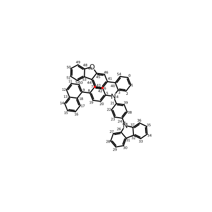 c1ccc(N(c2ccc(-c3cccc4ccccc34)cc2)c2ccc(-n3c4ccccc4c4ccccc43)cc2)c(-c2ccc3c(c2)oc2ccccc23)c1